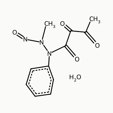 CC(=O)C(=O)C(=O)N(c1ccccc1)N(C)N=O.O